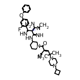 C=N/C(N)=C(\C(=N)NC1CCCN(C(=O)C(C#N)=CC(C)(C)N2CCN(C3CCC3)CC2)C1)C(=N)c1ccc(Oc2ccccc2)cc1F